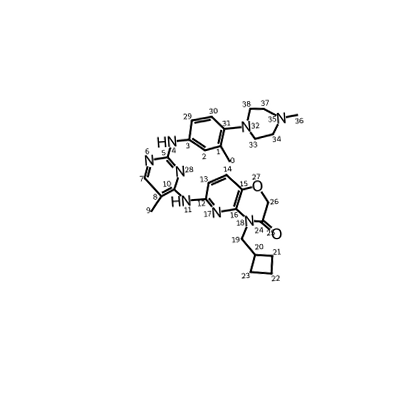 Cc1cc(Nc2ncc(C)c(Nc3ccc4c(n3)N(CC3CCC3)C(=O)CO4)n2)ccc1N1CCN(C)CC1